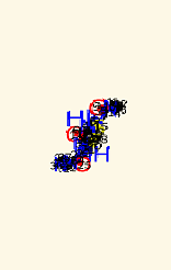 COc1c2nc(NCC(=O)N3CCCC3)sc2c(C)c2sc(NCC(=O)N3CCN(C)CC3)nc12